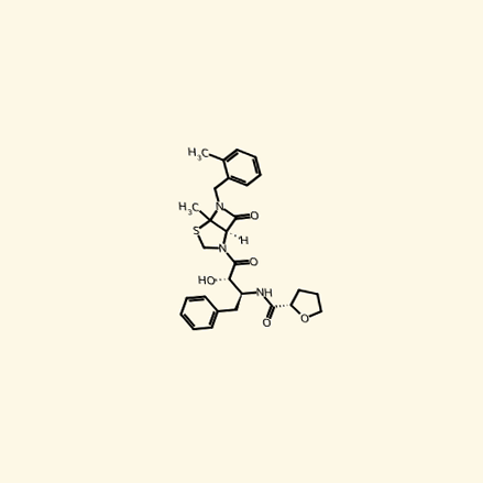 Cc1ccccc1CN1C(=O)[C@H]2N(C(=O)[C@@H](O)[C@H](Cc3ccccc3)NC(=O)[C@@H]3CCCO3)CSC21C